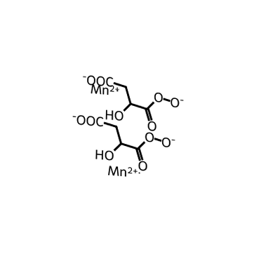 O=C([O-])CC(O)C(=O)O[O-].O=C([O-])CC(O)C(=O)O[O-].[Mn+2].[Mn+2]